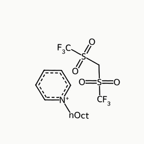 CCCCCCCC[n+]1ccccc1.O=S(=O)(CS(=O)(=O)C(F)(F)F)C(F)(F)F